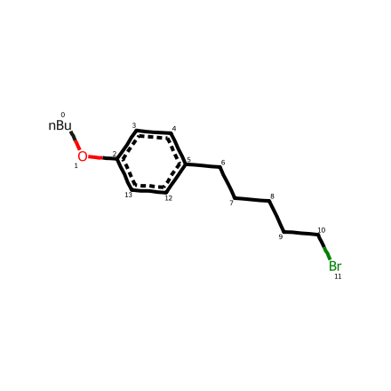 CCCCOc1ccc(CCCCCBr)cc1